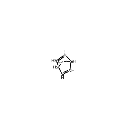 [SiH]1=[SiH][SiH]2[SiH]=[SiH][SiH]1[SiH2]2